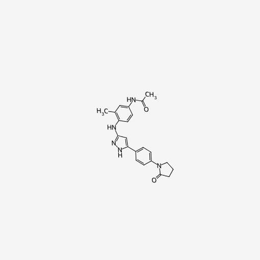 CC(=O)Nc1ccc(Nc2cc(-c3ccc(N4CCCC4=O)cc3)[nH]n2)c(C)c1